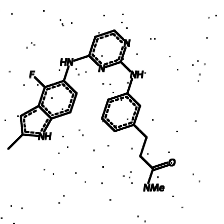 CNC(=O)CCc1cccc(Nc2nccc(Nc3ccc4[nH]c(C)cc4c3F)n2)c1